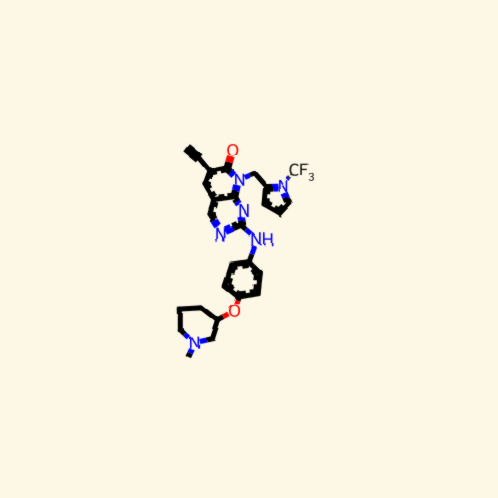 C#Cc1cc2cnc(Nc3ccc(OC4CCCN(C)C4)cc3)nc2n(Cc2cccn2C(F)(F)F)c1=O